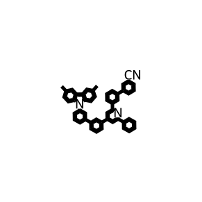 Cc1ccc2c(c1)c1cc(C)ccc1n2-c1cccc(-c2cccc(-c3cc(-c4ccccc4)nc(-c4cccc(-c5cccc(C#N)c5)c4)c3)c2)c1